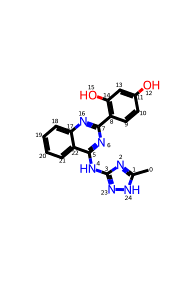 Cc1nc(Nc2nc(-c3ccc(O)cc3O)nc3ccccc23)n[nH]1